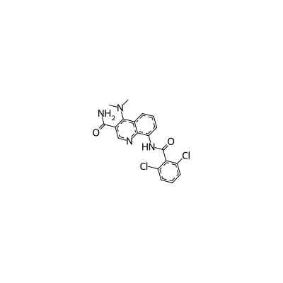 CN(C)c1c(C(N)=O)cnc2c(NC(=O)c3c(Cl)cccc3Cl)cccc12